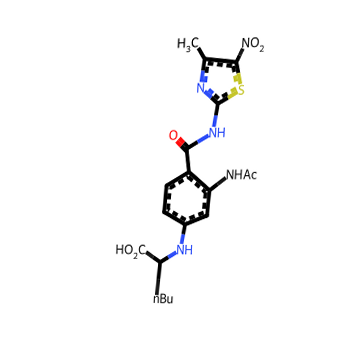 CCCCC(Nc1ccc(C(=O)Nc2nc(C)c([N+](=O)[O-])s2)c(NC(C)=O)c1)C(=O)O